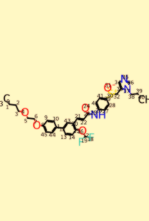 CCCCOCCOc1ccc(-c2ccc(OC(F)F)c(/C=C/C(=O)Nc3ccc([S@@+]([O-])Cc4cncn4CCC)cc3)c2)cc1